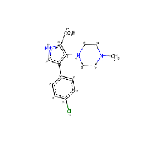 CN1CCN(c2c(-c3ccc(Cl)cc3)c[nH]c2C(=O)O)CC1